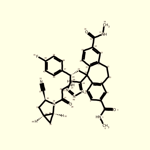 CNC(=O)c1ccc2c(c1)CCc1cc(C(=O)NC)ccc1C2(C[C@H](NCC(=O)N1[C@H](C#N)C[C@@H]2C[C@@H]21)c1ccc(F)cc1)c1nnn[nH]1